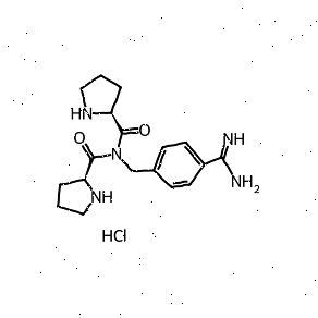 Cl.N=C(N)c1ccc(CN(C(=O)[C@@H]2CCCN2)C(=O)[C@@H]2CCCN2)cc1